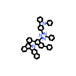 c1ccc(-c2ccc3c(-n4c5cc6ccccc6cc5c5c6ccccc6ccc54)c(-c4ccccc4)cc(-c4nc(-c5ccccc5)nc(-c5ccc6c7ccccc7n(-c7ccccc7)c6c5)n4)c3c2)cc1